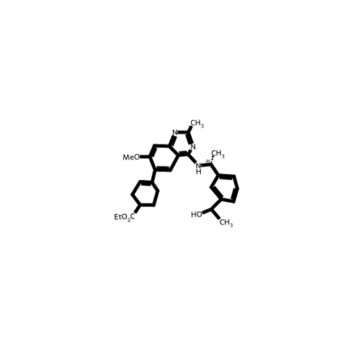 CCOC(=O)C1CC=C(c2cc3c(N[C@H](C)c4cccc(C(C)O)c4)nc(C)nc3cc2OC)CC1